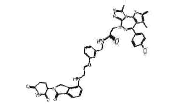 Cc1sc2c(c1C)C(c1ccc(Cl)cc1)=N[C@@H](CC(=O)NCc1cccc(OCCNc3cccc4c3CN(C3CCC(=O)NC3=O)C4=O)c1)c1nnc(C)n1-2